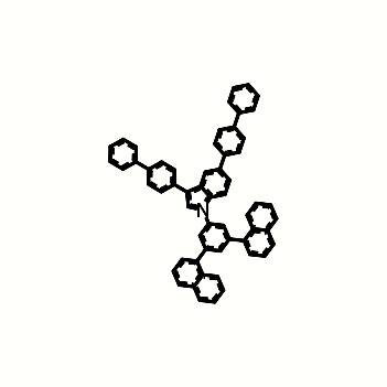 c1ccc(-c2ccc(-c3ccc4c(c3)c(-c3ccc(-c5ccccc5)cc3)cn4-c3cc(-c4cccc5ccccc45)cc(-c4cccc5ccccc45)c3)cc2)cc1